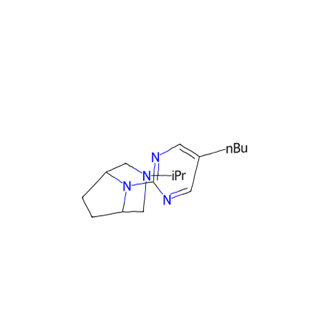 CCCCc1cnc(N2C3CCC2CN(C(C)C)C3)nc1